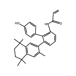 C=CC(=O)Nc1cccc(-c2cc3c(cc2C)C(C)(C)CCC3(C)C)c1-c1ccc(O)cc1